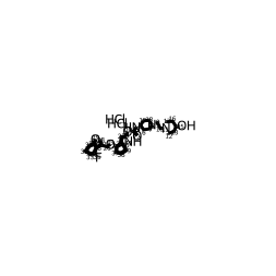 Cl.Cl.O=C(NC1CCN(CCN2CCC(O)CC2)CC1)Oc1cc2c(OCc3coc4cccc(F)c34)cccc2[nH]1